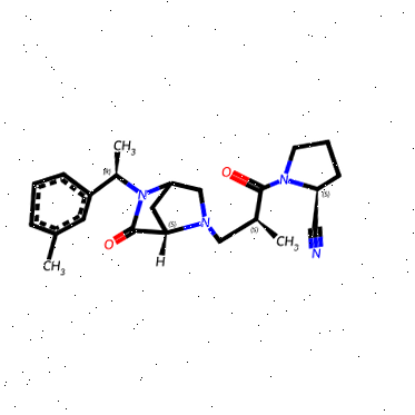 Cc1cccc([C@@H](C)N2C(=O)[C@@H]3CC2CN3C[C@H](C)C(=O)N2CCC[C@H]2C#N)c1